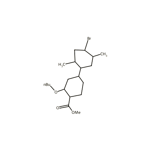 CCCCOC1CC(C2CC(C)C(Br)CC2C)CCC1C(=O)OC